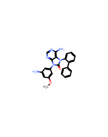 COc1cc(N)cc(-n2c(=O)n(-c3ccccc3-c3ccccc3)c3c(N)ncnc32)c1